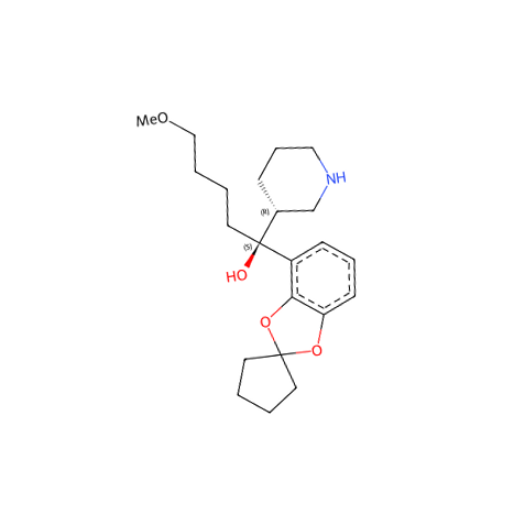 COCCCC[C@@](O)(c1cccc2c1OC1(CCCC1)O2)[C@@H]1CCCNC1